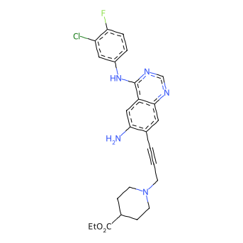 CCOC(=O)C1CCN(CC#Cc2cc3ncnc(Nc4ccc(F)c(Cl)c4)c3cc2N)CC1